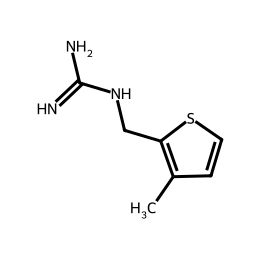 Cc1ccsc1CNC(=N)N